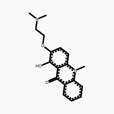 CN(C)CCOc1ccc2c(c1O)c(=O)c1ccccc1n2C